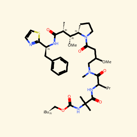 CC[C@H](C)[CH]OC(=O)NC(C)(C)C(=O)NC(C(=O)N(C)CC(CC(=O)N1CCC[C@H]1[C@H](OC)[C@@H](C)C(=O)N[C@@H](Cc1ccccc1)c1nccs1)OC)C(C)C